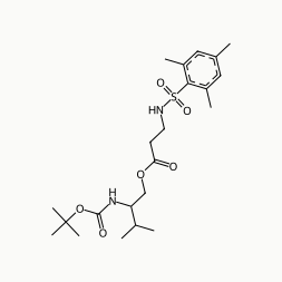 Cc1cc(C)c(S(=O)(=O)NCCC(=O)OCC(NC(=O)OC(C)(C)C)C(C)C)c(C)c1